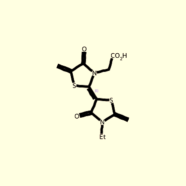 C=c1s/c(=c2/sc(=C)n(CC)c2=O)n(CC(=O)O)c1=O